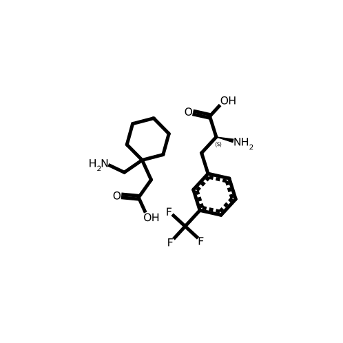 NCC1(CC(=O)O)CCCCC1.N[C@@H](Cc1cccc(C(F)(F)F)c1)C(=O)O